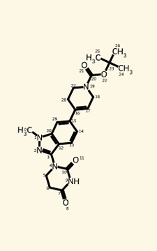 Cn1nc(N2CCC(=O)NC2=O)c2ccc(C3=CCN(C(=O)OC(C)(C)C)CC3)cc21